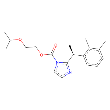 Cc1cccc([C@H](C)c2nccn2C(=O)OCCOC(C)C)c1C